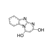 Oc1cc(O)n2c(n1)nc1ccccc12